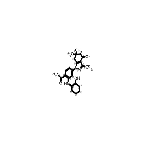 CC1(C)CC(=O)c2c(C(F)(F)F)nn(-c3ccc(C(N)=O)c(NC4CCCCC4O)c3)c2C1